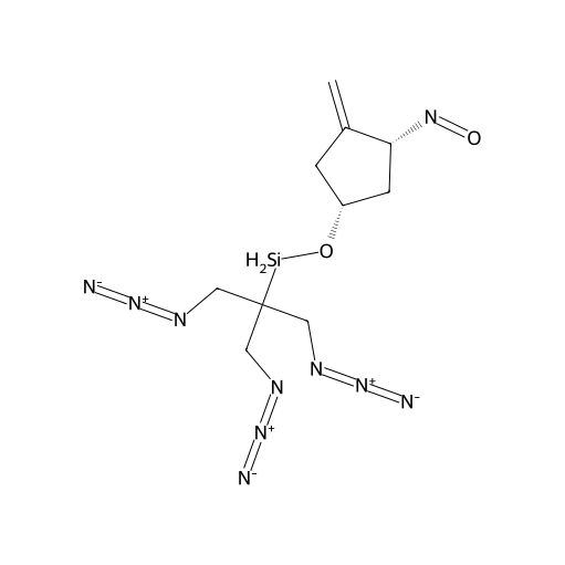 C=C1C[C@@H](O[SiH2]C(CN=[N+]=[N-])(CN=[N+]=[N-])CN=[N+]=[N-])C[C@H]1N=O